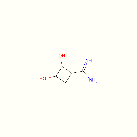 N=C(N)C1CC(O)C1O